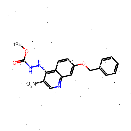 CC(C)(C)OC(=O)NNc1c([N+](=O)[O-])cnc2cc(OCc3ccccc3)ccc12